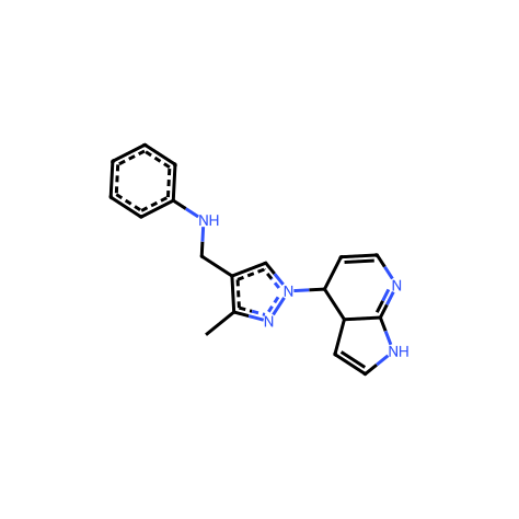 Cc1nn(C2C=CN=C3NC=CC32)cc1CNc1ccccc1